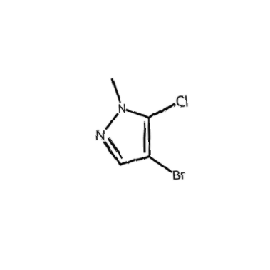 Cn1ncc(Br)c1Cl